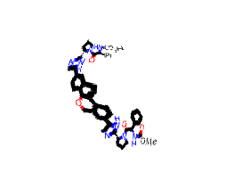 COC(=O)N[C@@H](C(=O)N1CCC[C@H]1c1ncc(-c2ccc3c(c2)COc2c-3ccc3cc(-c4cnc([C@@H]5CCCN5C(=O)[C@@H](NC(=O)O)C(C)C)[nH]4)ccc23)[nH]1)c1ccccc1